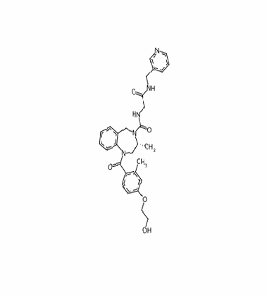 Cc1cc(OCCO)ccc1C(=O)N1C[C@@H](C)N(C(=O)NCC(=O)NCc2cccnc2)Cc2ccccc21